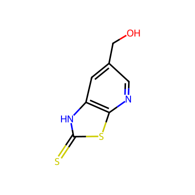 OCc1cnc2sc(=S)[nH]c2c1